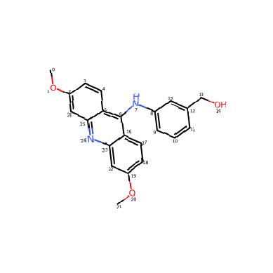 COc1ccc2c(Nc3cccc(CO)c3)c3ccc(OC)cc3nc2c1